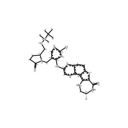 C[C@@H]1CNc2c(sc3ccc4nc(Oc5nc(Cl)ncc5CN5C(=O)CCC5CO[Si](C)(C)C(C)(C)C)cnc4c23)C(=O)N1